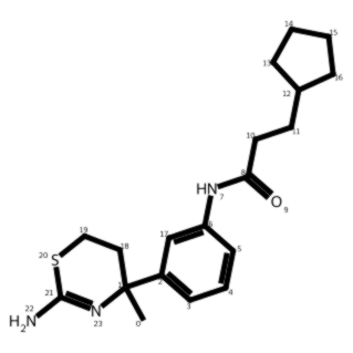 CC1(c2cccc(NC(=O)CCC3CCCC3)c2)CCSC(N)=N1